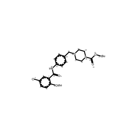 COc1ccc(Cl)cc1C(=O)Nc1ccc(CN2CCN(C(=O)OC(C)(C)C)CC2)cc1